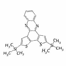 C[Si](C)(C)c1cc2c3nc4ccccc4nc3c3cc([Si](C)(C)C)sc3c2s1